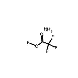 N.O=C(OF)C(F)(F)F